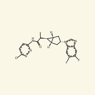 CC(C(=O)Nc1ccc(Cl)nn1)[C@H]1[C@@H]2C[C@H](n3cnc4cc(F)c(F)cc43)C[C@@H]21